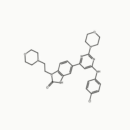 O=c1[nH]c2cc(-c3cc(Nc4ccc(Cl)cc4)nc(N4CCOCC4)n3)ccc2n1CCN1CCOCC1